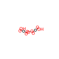 O=C(O)c1ccc(C(=O)OCCOOC(=O)c2ccc(C(=O)O)cc2)cc1